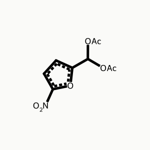 CC(=O)OC(OC(C)=O)c1ccc([N+](=O)[O-])o1